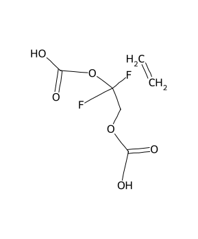 C=C.O=C(O)OCC(F)(F)OC(=O)O